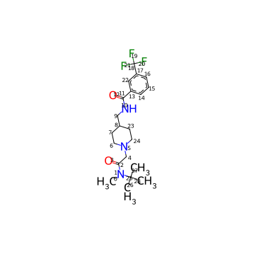 CN(C(=O)CN1CCC(CNC(=O)c2cccc(C(F)(F)F)c2)CC1)C(C)(C)C